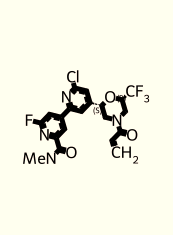 C=CC(=O)N1C[C@H](c2cc(Cl)nc(-c3cc(F)nc(C(=O)NC)c3)c2)O[C@@H](C(F)(F)F)C1